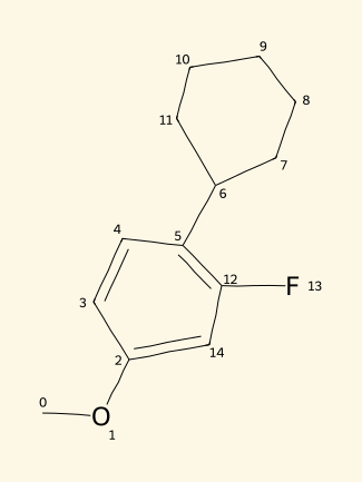 COc1ccc(C2CCCCC2)c(F)c1